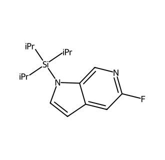 CC(C)[Si](C(C)C)(C(C)C)n1ccc2cc(F)ncc21